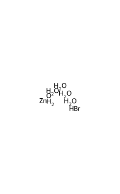 Br.O.O.O.O.O.[Zn]